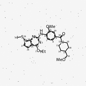 CCOc1nc(Nc2ccc(C(=O)N3CCC(COC)CC3)cc2OC)nc2c1ccn2SI